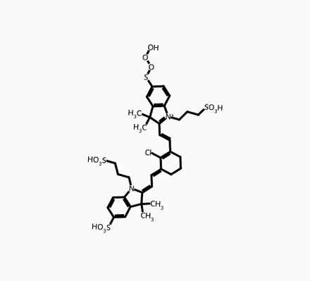 CC1(C)C(/C=C/C2=C(Cl)C(=C/C=C3\N(CCCS(=O)(=O)O)c4ccc(S(=O)(=O)O)cc4C3(C)C)/CCC2)=[N+](CCCS(=O)(=O)O)c2ccc(SOOO)cc21